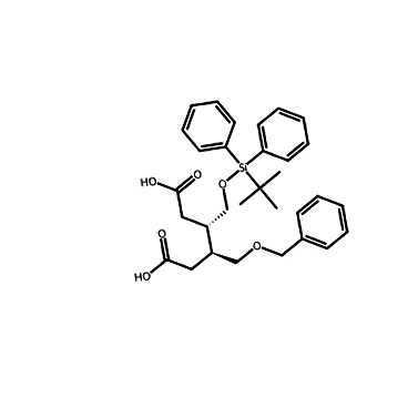 CC(C)(C)[Si](OC[C@@H](CC(=O)O)[C@@H](COCc1ccccc1)CC(=O)O)(c1ccccc1)c1ccccc1